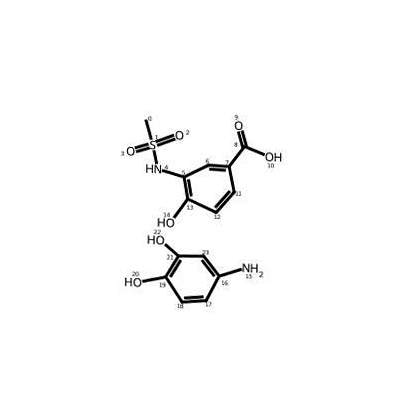 CS(=O)(=O)Nc1cc(C(=O)O)ccc1O.Nc1ccc(O)c(O)c1